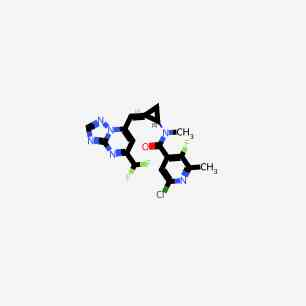 Cc1nc(Cl)cc(C(=O)N(C)[C@H]2C/C2=C/c2cc(C(F)F)nc3ncnn23)c1F